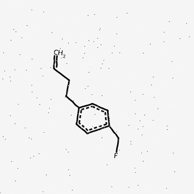 C=CCCc1ccc(CF)cc1